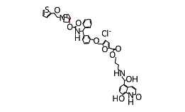 O=C(NC(c1ccccc1)c1cccc(OCc2ccc(C(=O)OCCCCNCC(O)c3ccc(O)c4[nH]c(=O)ccc34)o2)c1)OC1C[N+]2(CC(=O)c3cccs3)CCC1CC2.[Cl-]